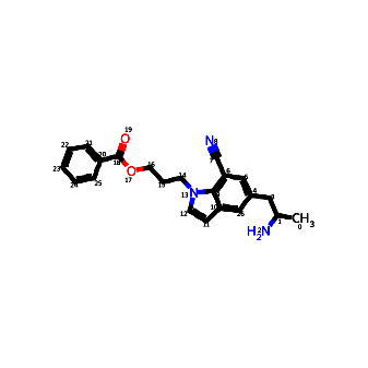 CC(N)Cc1cc(C#N)c2c(ccn2CCCOC(=O)c2ccccc2)c1